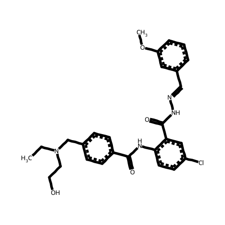 CCN(CCO)Cc1ccc(C(=O)Nc2ccc(Cl)cc2C(=O)N/N=C/c2cccc(OC)c2)cc1